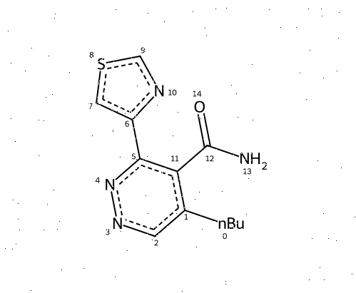 CCCCc1cnnc(-c2cscn2)c1C(N)=O